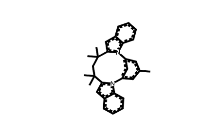 Cc1cc2cc(c1)-n1c(cc3ccccc31)C(C)(C)CC(C)(C)c1cc3ccccc3n1-2